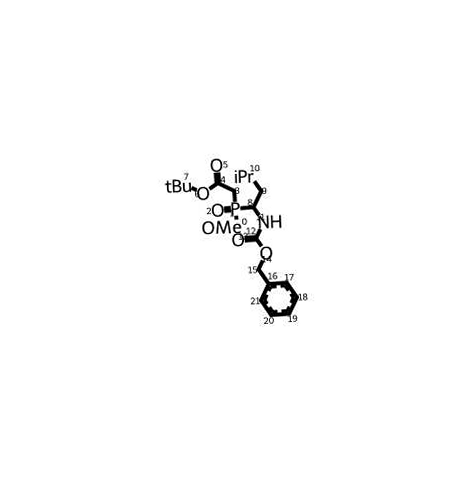 COP(=O)(CC(=O)OC(C)(C)C)C(CC(C)C)NC(=O)OCc1ccccc1